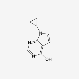 Oc1ncnc2c1ccn2C1CC1